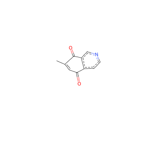 CC1=CC(=O)c2ccncc2C1=O